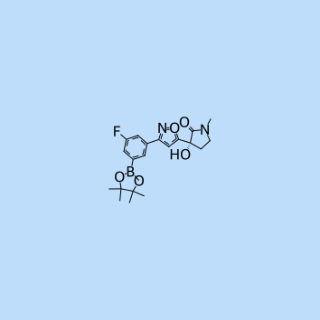 CN1CC[C@@](O)(c2cc(-c3cc(F)cc(B4OC(C)(C)C(C)(C)O4)c3)no2)C1=O